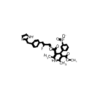 COC(=O)C1=C(C)NC(C)=C(C(=O)OCC(F)=Cc2ccc(Cc3ncc[nH]3)cc2)C1c1cccc([N+](=O)[O-])c1